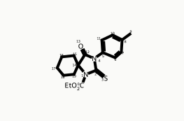 CCOC(=O)N1C(=S)N(c2ccc(C)cc2)C(=O)C12CCCCC2